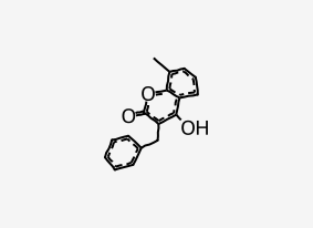 Cc1cccc2c(O)c(Cc3ccccc3)c(=O)oc12